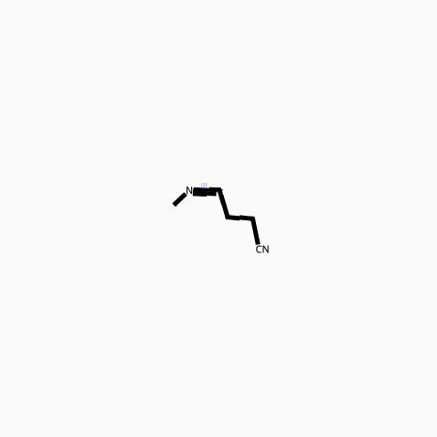 C/N=[C]\CCC#N